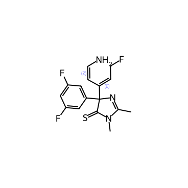 CC1=NC(C(/C=C\N)=C/CF)(c2cc(F)cc(F)c2)C(=S)N1C